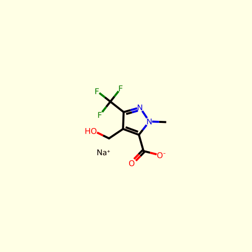 Cn1nc(C(F)(F)F)c(CO)c1C(=O)[O-].[Na+]